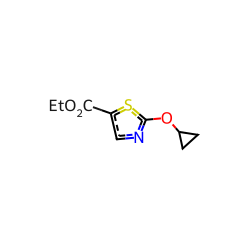 CCOC(=O)c1cnc(OC2CC2)s1